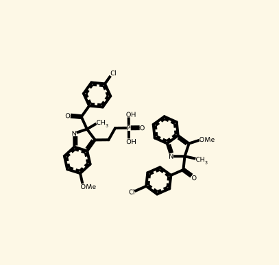 COC1=c2ccccc2=NC1(C)C(=O)c1ccc(Cl)cc1.COc1ccc2c(c1)=C(CCP(=O)(O)O)C(C)(C(=O)c1ccc(Cl)cc1)N=2